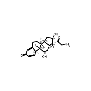 C[C@]12C=CC(=O)C=C1CC[C@H]1[C@@H]3C[C@@H](O)[C@@]4(C(=O)CN)O[C@]34C[C@H](O)[C@@]12F